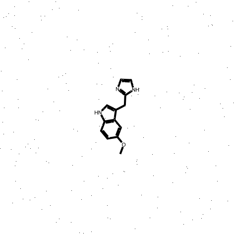 COc1ccc2[nH]cc(Cc3ncc[nH]3)c2c1